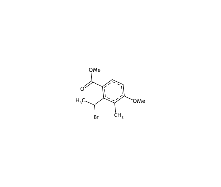 COC(=O)c1ccc(OC)c(C)c1C(C)Br